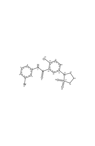 O=C(Nc1cccc(Br)c1)c1cc(N2CCCS2(=O)=O)ccc1Cl